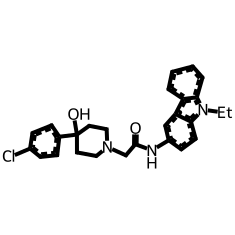 CCn1c2ccccc2c2cc(NC(=O)CN3CCC(O)(c4ccc(Cl)cc4)CC3)ccc21